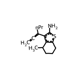 C=C=C(CCC)c1c(N)sc2c1C(C)CCC2